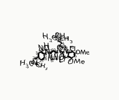 COc1cc(OC)c(Cl)c(N(COCC[Si](C)(C)C)C(=O)N(C)c2cc(Nc3ccc(CN(C)C)cc3[N+](=O)[O-])ncn2)c1Cl